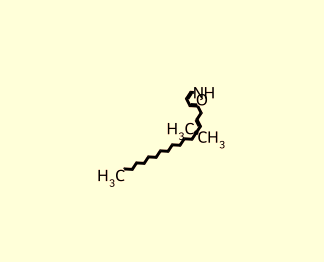 CCCCCCCCCCCCCC(C)(C)C=CCC1=CC=CNO1